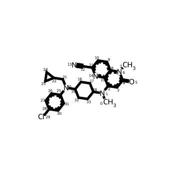 CN(c1cc(=O)n(C)c2ccc(C#N)nc12)C1CCC(N(CC2CC2)c2ccc(Cl)cc2)CC1